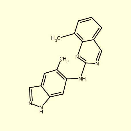 Cc1cc2cn[nH]c2cc1Nc1ncc2cccc(C)c2n1